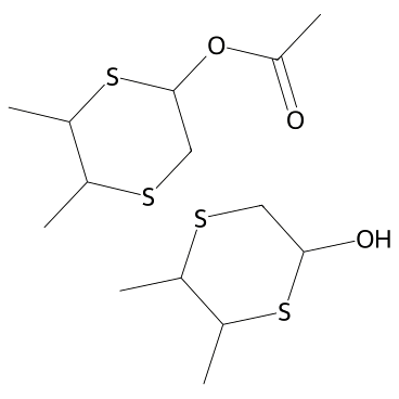 CC(=O)OC1CSC(C)C(C)S1.CC1SCC(O)SC1C